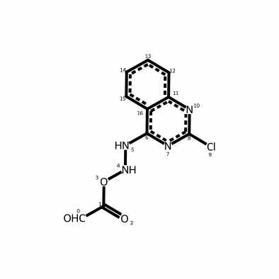 O=CC(=O)ONNc1nc(Cl)nc2ccccc12